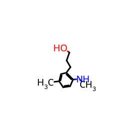 CNc1ccc(C)cc1CCCO